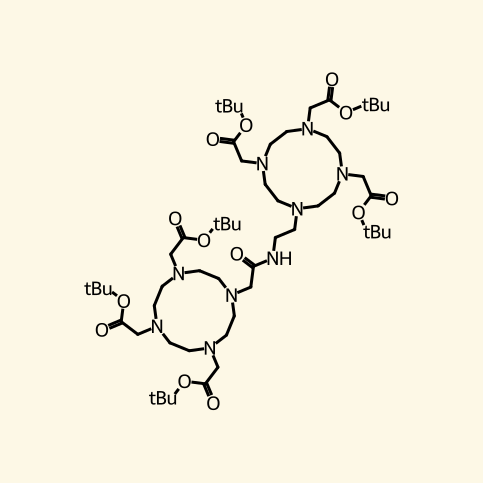 CC(C)(C)OC(=O)CN1CCN(CCNC(=O)CN2CCN(CC(=O)OC(C)(C)C)CCN(CC(=O)OC(C)(C)C)CCN(CC(=O)OC(C)(C)C)CC2)CCN(CC(=O)OC(C)(C)C)CCN(CC(=O)OC(C)(C)C)CC1